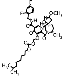 COC1=NO[C@@]2(CC[C@H](C)N3C[C@H]2n2cc(C(=O)NCc4ccc(F)cc4F)c(=O)c(OCOC(=O)OCCCCCCC(C)C)c2C3=O)C1